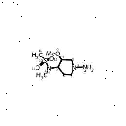 COC1CN(N)CCC1N(C)S(C)(=O)=O